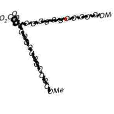 COCCOCCOCCOCCOCCOCCOCCOCCOCCOCCOCCOCCN(CCOCCOCCOCCOCCOCCOCCOCCOCCOCCOCCOCCOC)c1ccc2cc(C(=O)O)c(=O)oc2c1